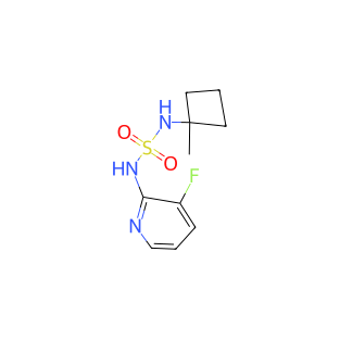 CC1(NS(=O)(=O)Nc2ncccc2F)CCC1